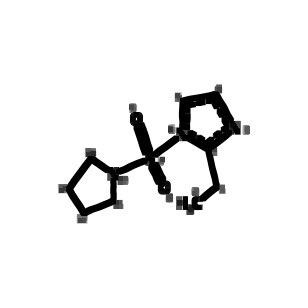 CCc1nccn1S(=O)(=O)N1CCCC1